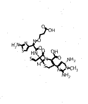 CN1C(N)=NC(C2=C(C(=O)O)N3C(=O)[C@](C=S)(NC(=O)/C(=N\OCCC(=O)O)c4csc(N)n4)[C@H]3SC2)=C[C@@H]1N